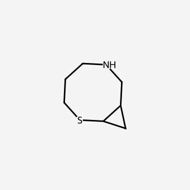 C1CNCC2CC2SC1